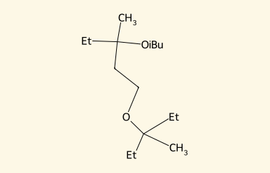 CCC(C)(CC)OCCC(C)(CC)OCC(C)C